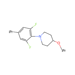 CC(C)OC1CCN(c2c(F)cc(C(C)C)cc2F)CC1